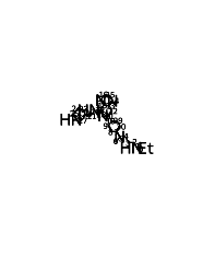 CCNCCCN(C)c1ccc(-c2cc3nccnc3c(NCC3CCCNC3)n2)cc1